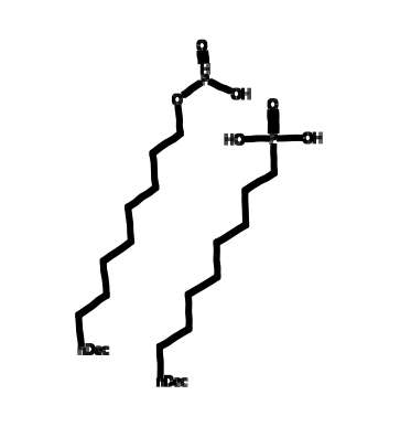 CCCCCCCCCCCCCCCCCCO[PH](=O)O.CCCCCCCCCCCCCCCCCCP(=O)(O)O